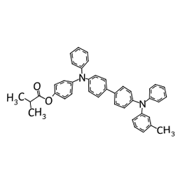 Cc1cccc(N(c2ccccc2)c2ccc(-c3ccc(N(c4ccccc4)c4ccc(OC(=O)C(C)C)cc4)cc3)cc2)c1